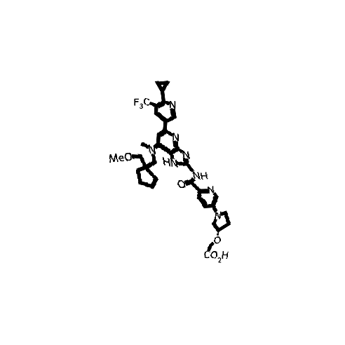 COCC1(CN(C)c2cc(-c3cnc(C4CC4)c(C(F)(F)F)c3)nc3nc(NC(=O)c4ccc(N5CC[C@H](OCC(=O)O)C5)cn4)[nH]c23)CCCC1